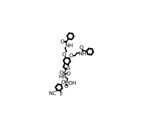 N#Cc1ccc(OP(=O)(O)CNS(=O)(=O)c2cc3cc(OCCNC(=O)c4c[c]ccc4)c(OCCNC(=O)c4c[c]ccc4)cc3s2)cc1F